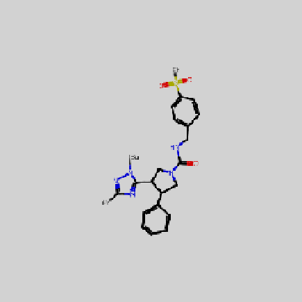 CCS(=O)(=O)c1ccc(CNC(=O)N2CC(c3ccccc3)C(c3nc(C(C)C)nn3C(C)(C)C)C2)cc1